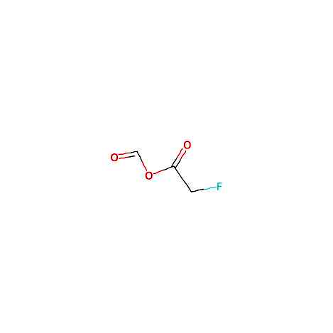 O=COC(=O)CF